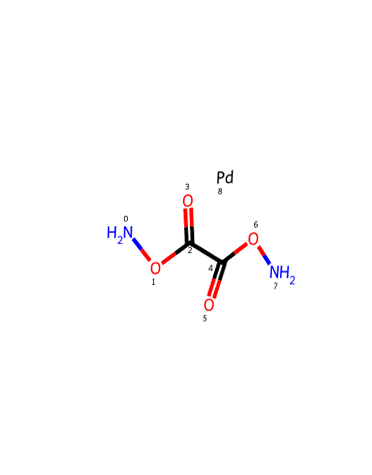 NOC(=O)C(=O)ON.[Pd]